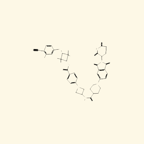 CN(C(=O)C1CCN(c2ccc3c(c2)C(=O)N(C2CCC(=O)NC2=O)C3=O)CC1)C1CN(c2ccc(C(=O)N[C@H]3C(C)(C)[C@H](Oc4ccc(C#N)c(Cl)c4)C3(C)C)cc2)C1